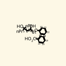 CCCC(O)(CCC)CC(O)CC.O=C(O)c1ccccc1.O=C(O)c1ccccc1